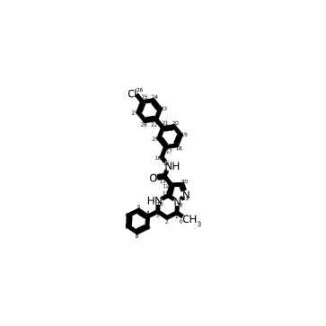 CC1CC(c2ccccc2)Nc2c(C(=O)NCc3cccc(-c4ccc(Cl)cc4)c3)cnn21